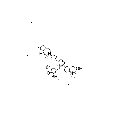 Bc1cc(C[C@@H](OC(=O)N2CCC(N3CCc4ccccc4NC3=O)CC2)C(=O)N2CCC(N3CCCC[C@H]3C(=O)O)CC2)cc(Br)c1O